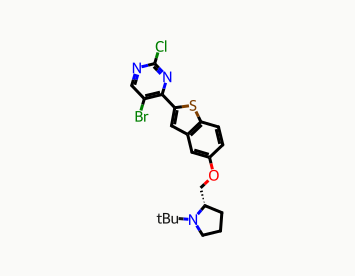 CC(C)(C)N1CCC[C@H]1COc1ccc2sc(-c3nc(Cl)ncc3Br)cc2c1